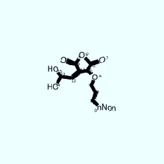 CCCCCCCCCCCCOC1C(=O)OC(=O)C1=CC(O)O